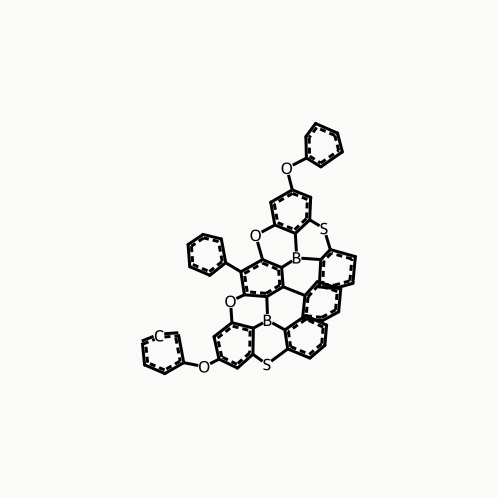 c1ccc(Oc2cc3c4c(c2)Sc2ccccc2B4c2c(c(-c4ccccc4)c4c(c2-c2ccccc2)B2c5ccccc5Sc5cc(Oc6ccccc6)cc(c52)O4)O3)cc1